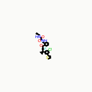 C#CCNC(=O)C(=O)NCc1ccccc1C(=O)C#CC1(c2cc(-c3cccs3)cc(Cl)c2F)CC1